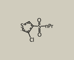 CCCS(=O)(=O)c1cs[c]c1Cl